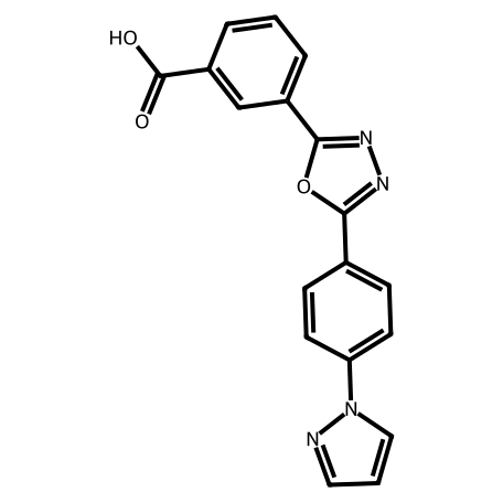 O=C(O)c1cccc(-c2nnc(-c3ccc(-n4cccn4)cc3)o2)c1